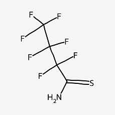 NC(=S)C(F)(F)C(F)(F)C(F)(F)F